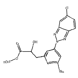 CCCCCCCCOC(=O)C(O)Cc1cc(-n2nc3ccc(Cl)cc3n2)cc(C(C)(C)C)c1